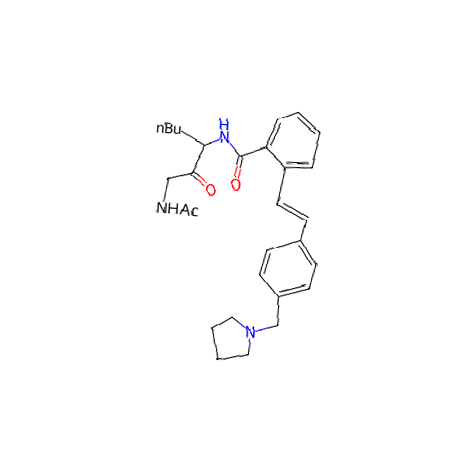 CCCCC(NC(=O)c1ccccc1C=Cc1ccc(CN2CCCC2)cc1)C(=O)CNC(C)=O